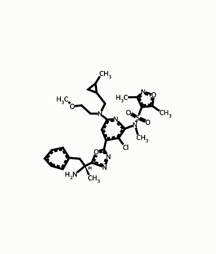 COCCN(CC1CC1C)c1cc(-c2nnc([C@](C)(N)Cc3ccccc3)o2)c(Cl)c(N(C)S(=O)(=O)c2c(C)noc2C)n1